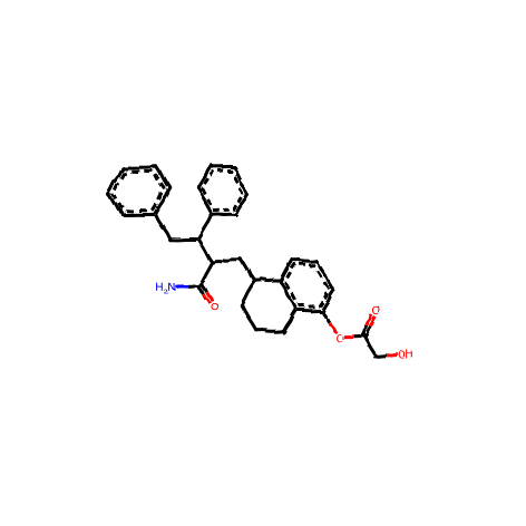 NC(=O)C(CC1CCCc2c(OC(=O)CO)cccc21)C(Cc1ccccc1)c1ccccc1